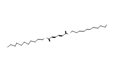 CCCCCCCCCCCOC(=O)/C=C/C=C/C(=O)OCCCCCCCCCCC